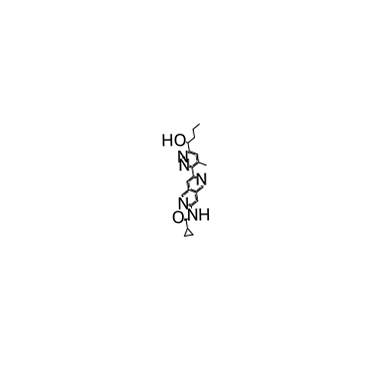 CCCC(O)c1cc(C)c(-c2cc3cnc(NC(=O)C4CC4)cc3cn2)nn1